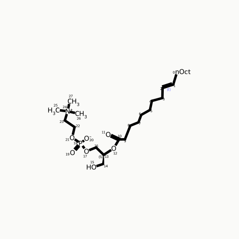 CCCCCCCC/C=C/CCCCCCCC(=O)O[C@@H](CO)COP(=O)([O-])OCC[N+](C)(C)C